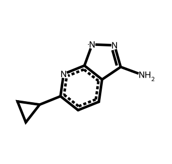 NC1=N[N]c2nc(C3CC3)ccc21